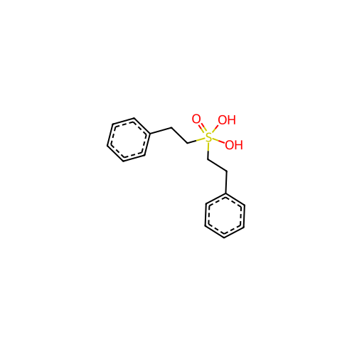 O=S(O)(O)(CCc1ccccc1)CCc1ccccc1